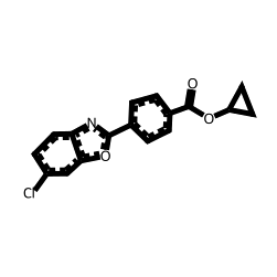 O=C(OC1CC1)c1ccc(-c2nc3ccc(Cl)cc3o2)cc1